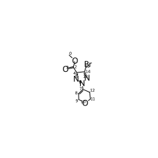 COC(=O)c1nn(C2=CCOCC2)nc1Br